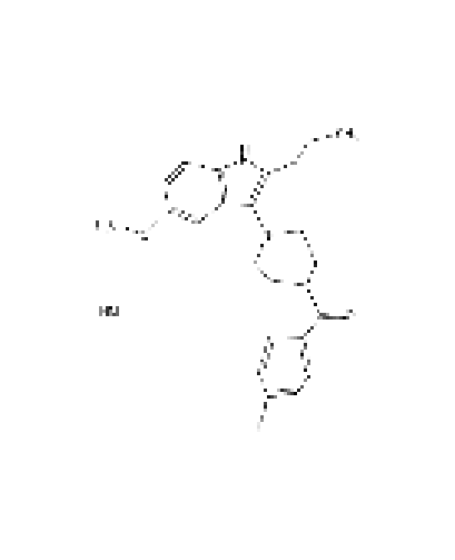 CCCc1[nH]c2ccc(OC)cc2c1N1CCC(C(=O)c2ccc(F)cc2)CC1.Cl